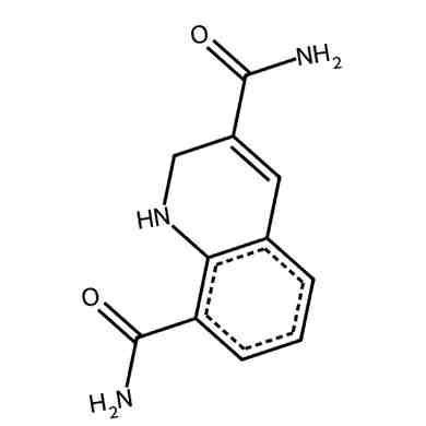 NC(=O)C1=Cc2cccc(C(N)=O)c2NC1